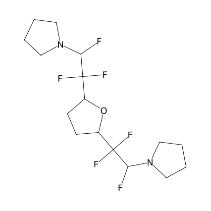 FC(N1CCCC1)C(F)(F)C1CCC(C(F)(F)C(F)N2CCCC2)O1